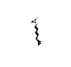 O=[Si](O)OC=CC=CCC1CO1